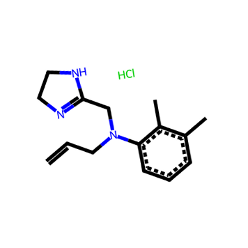 C=CCN(CC1=NCCN1)c1cccc(C)c1C.Cl